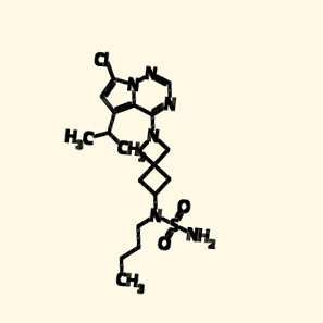 CCCCN(C1CC2(C1)CN(c1ncnn3c(Cl)cc(C(C)C)c13)C2)S(N)(=O)=O